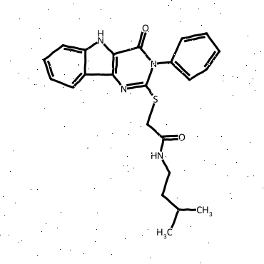 CC(C)CCNC(=O)CSc1nc2c([nH]c3ccccc32)c(=O)n1-c1ccccc1